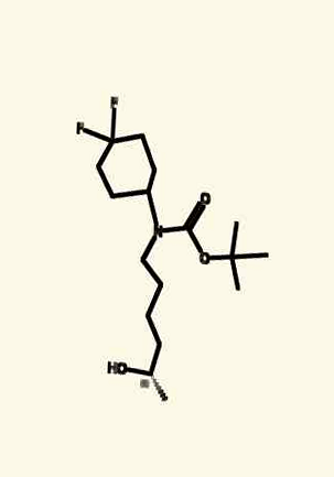 C[C@H](O)CCCCN(C(=O)OC(C)(C)C)C1CCC(F)(F)CC1